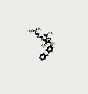 CN(C)CCNc1nc(N)n2nc(Nc3ccc(Oc4ccncc4)cc3)c(N)c2n1